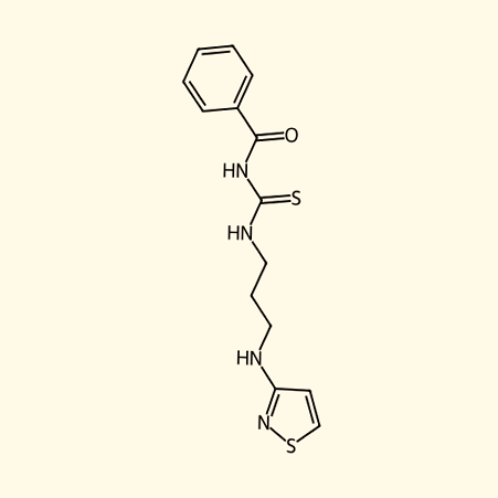 O=C(NC(=S)NCCCNc1ccsn1)c1ccccc1